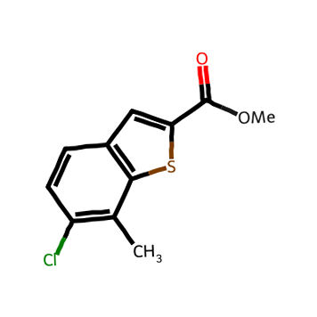 COC(=O)c1cc2ccc(Cl)c(C)c2s1